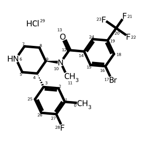 Cc1cc([C@@H]2CNCC[C@H]2N(C)C(=O)c2cc(Br)cc(C(F)(F)F)c2)ccc1F.Cl